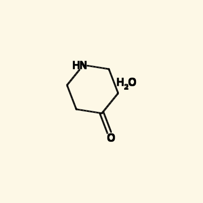 O.O=C1CCNCC1